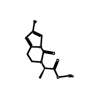 C[C@H](C(=O)OC(C)(C)C)N1CCc2cc(Br)cn2C1=O